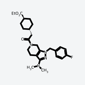 CCOC(=O)[C@H]1CC[C@H](CC(=O)N2CCc3c(N(C)C)nn(Cc4ccc(F)cc4)c3C2)CC1